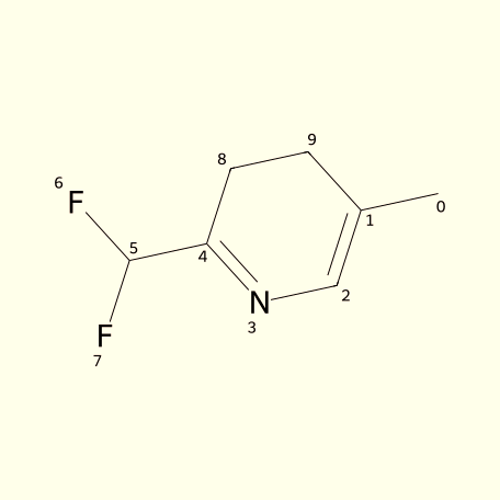 CC1=CN=C(C(F)F)CC1